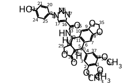 COc1cc([C@@H]2c3cc4c(cc3[C@@H](NC(=O)c3cn(-c5ccc(O)cc5)nn3)[C@H]3COC(=O)[C@H]23)OCO4)cc(OC)c1OC